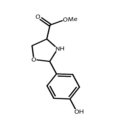 COC(=O)C1COC(c2ccc(O)cc2)N1